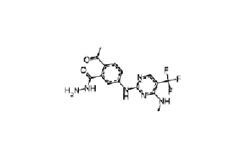 CNc1nc(Nc2ccc(C(C)=O)c(C(=O)NN)c2)ncc1C(F)(F)F